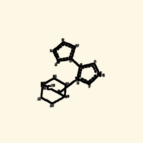 c1csc(-c2cncn2C2CN3CCC2CC3)c1